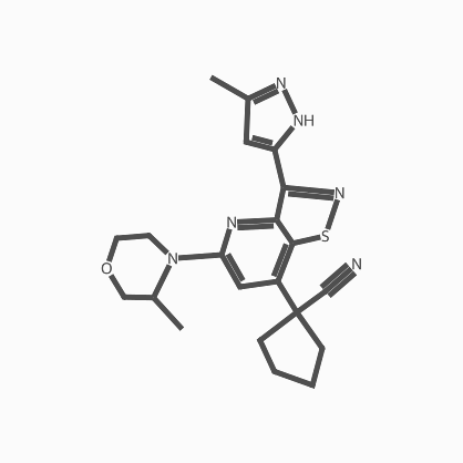 Cc1cc(-c2nsc3c(C4(C#N)CCCC4)cc(N4CCOCC4C)nc23)[nH]n1